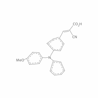 COc1ccc(N(c2ccccc2)c2ccc(/C=C(\C#N)C(=O)O)cc2)cc1